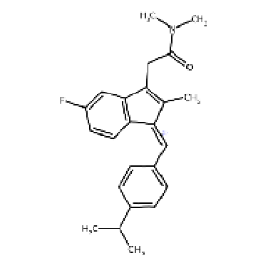 CC1=C(CC(=O)N(C)C)c2cc(F)ccc2/C1=C\c1ccc(C(C)C)cc1